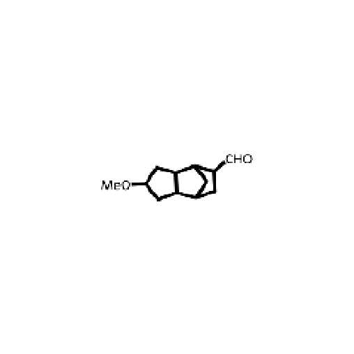 COC1CC2C3CC(C=O)C(C3)C2C1